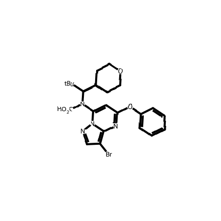 CC(C)(C)C(C1CCOCC1)N(C(=O)O)c1cc(Oc2ccccc2)nc2c(Br)cnn12